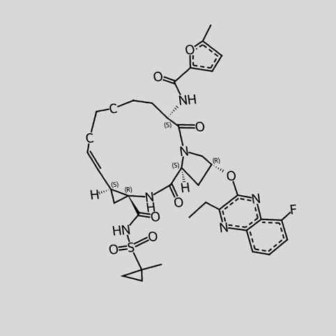 CCc1nc2cccc(F)c2nc1O[C@@H]1C[C@H]2C(=O)N[C@]3(C(=O)NS(=O)(=O)C4(C)CC4)C[C@H]3C=CCCCCC[C@H](NC(=O)c3ccc(C)o3)C(=O)N2C1